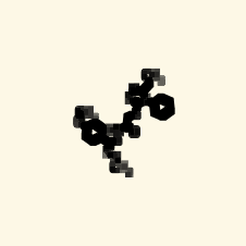 C=N/N=C(\SNC(=O)CSc1nnc(CC)n1-c1ccccc1)c1ccc(OC)cc1